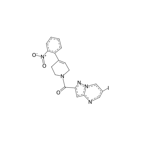 O=C(c1cc2ncc(I)cn2n1)N1CC=C(c2ccccc2[N+](=O)[O-])CC1